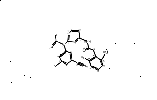 CC(=O)N(c1cc(C)cc(C#N)c1)c1cc(NC(=O)Cc2c(F)cccc2Cl)ccn1